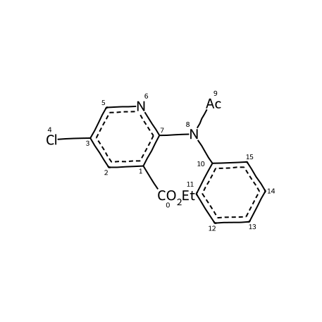 CCOC(=O)c1cc(Cl)cnc1N(C(C)=O)c1ccccc1